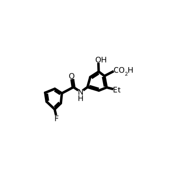 CCc1cc(NC(=O)c2cccc(F)c2)cc(O)c1C(=O)O